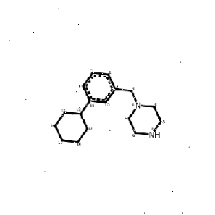 c1cc(CN2CCNCC2)cc(C2CCCCC2)c1